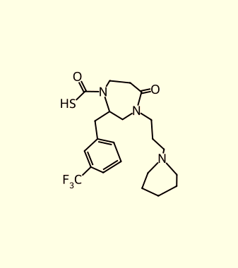 O=C1CCN(C(=O)S)C(Cc2cccc(C(F)(F)F)c2)CN1CCCN1CCCCC1